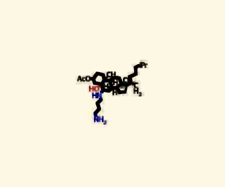 CC(=O)OC1CC[C@]2(C)[C@H]3CC[C@]4(C)[C@@H]([C@H](C)CCCC(C)C)CC[C@H]4[C@@H]3CC(NCCCCN)C2(O)C1